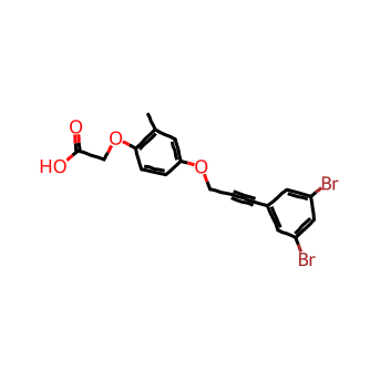 Cc1cc(OCC#Cc2cc(Br)cc(Br)c2)ccc1OCC(=O)O